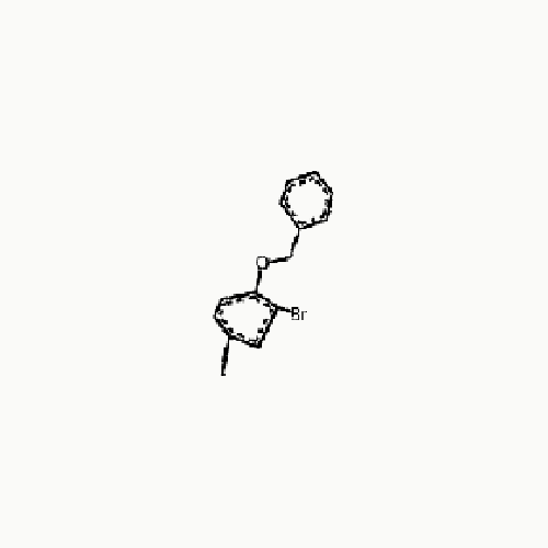 Cc1ccc(OCc2ccccc2)c(Br)c1